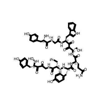 CC(C)C[C@H](NN[C@@H](Cc1ccc(O)cc1)C(=O)N[C@@H](CCC(N)=O)C(=O)N[C@@H](CO)C(=O)C(=O)[C@H](Cc1c[nH]c2ccccc12)NC(=O)CNC(=O)[C@@H](N)Cc1ccc(O)cc1)C(=O)NCC(=O)C(=O)[C@H](Cc1ccc(O)cc1)NO